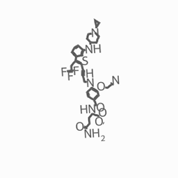 COC(=O)C(CCC(N)=O)NC(=O)c1ccc(NCC#Cc2sc3c(NC4CCN(C5CC5)CC4)cccc3c2CC(F)(F)F)c(OCC#N)c1